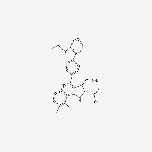 CCOc1ccccc1-c1ccc(-c2nc3ccc(F)c(F)c3c3c2C(CN)[C@H](C(=O)O)N3)cc1